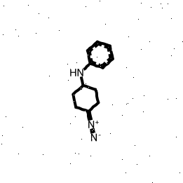 [N-]=[N+]=C1CCC(Nc2ccccc2)CC1